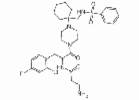 NCCC(=O)NC(Cc1ccc(Cl)cc1Cl)C(=O)N1CCN(C2(CNS(=O)(=O)c3ccccc3)CCCCC2)CC1